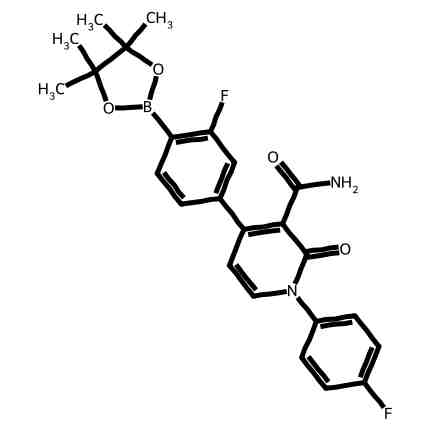 CC1(C)OB(c2ccc(-c3ccn(-c4ccc(F)cc4)c(=O)c3C(N)=O)cc2F)OC1(C)C